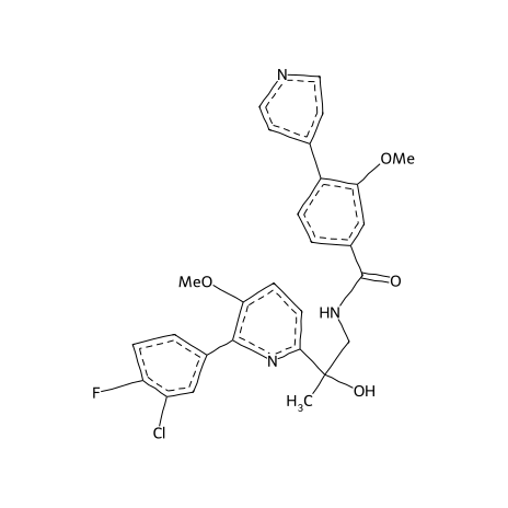 COc1cc(C(=O)NCC(C)(O)c2ccc(OC)c(-c3ccc(F)c(Cl)c3)n2)ccc1-c1ccncc1